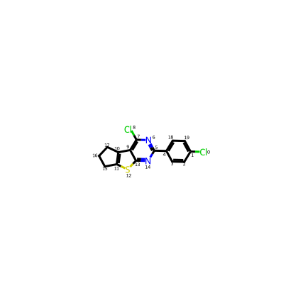 Clc1ccc(-c2nc(Cl)c3c4c(sc3n2)CCC4)cc1